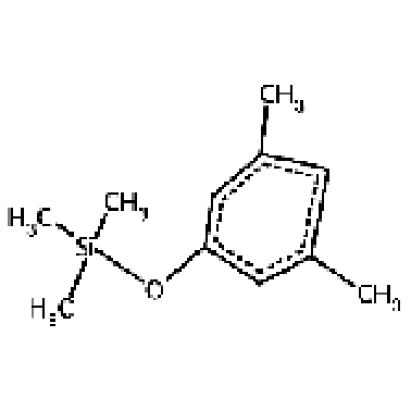 Cc1cc(C)cc(O[Si](C)(C)C)c1